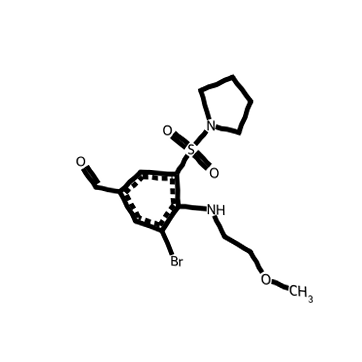 COCCNc1c(Br)cc(C=O)cc1S(=O)(=O)N1CCCC1